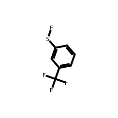 FSc1cccc(C(F)(F)F)c1